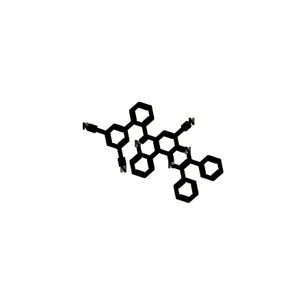 N#Cc1cc(C#N)cc(-c2ccccc2-c2nc3ccccc3c3c2cc(C#N)c2nc(-c4ccccc4)c(-c4ccccc4)nc23)c1